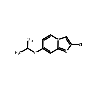 CC(C)Oc1ccn2cc(Cl)nc2c1